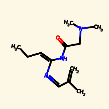 C=C(C)/C=N\C(=C/CC)NC(=O)CN(C)C